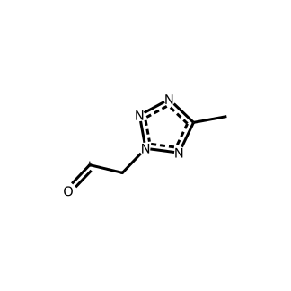 Cc1nnn(C[C]=O)n1